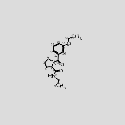 CCNC(=O)C1CCCN1C(=O)c1cccc(OCC)c1